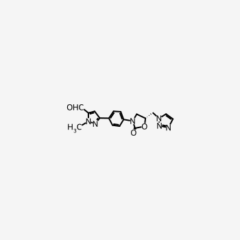 Cn1nc(-c2ccc(N3C[C@H](Cn4ccnn4)OC3=O)cc2)cc1C=O